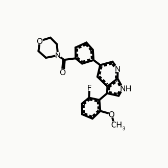 COc1cccc(F)c1-c1c[nH]c2ncc(-c3cccc(C(=O)N4CCOCC4)c3)cc12